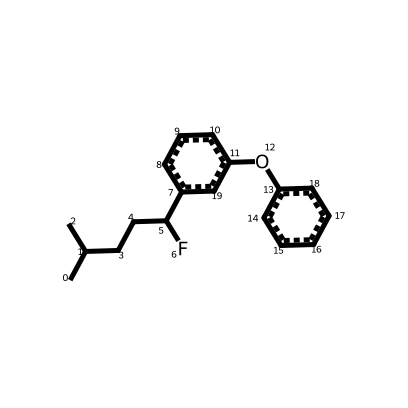 CC(C)CCC(F)c1cccc(Oc2ccccc2)c1